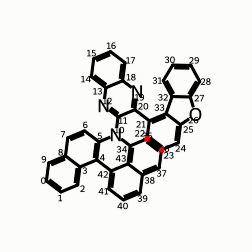 c1ccc2c3c(ccc2c1)N(c1nc2ccccc2nc1-c1cccc2oc4ccccc4c12)c1cccc2cccc-3c12